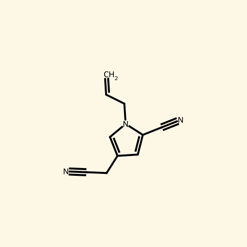 C=CCn1cc(CC#N)cc1C#N